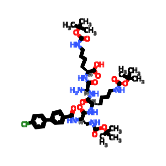 CC(C)(C)OC(=O)NCCCC[C@H](NC(=O)[C@H](N)NC(=O)[C@H](CCCCNC(=O)OC(C)(C)C)NC(=O)[C@H](CNC(=O)OC(C)(C)C)NC(=O)c1ccc(-c2ccc(Cl)cc2)cc1)C(=O)O